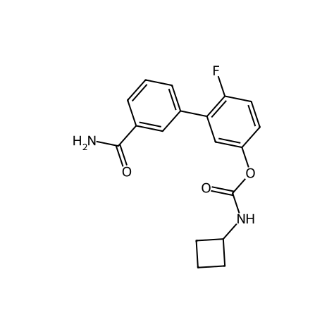 NC(=O)c1cccc(-c2cc(OC(=O)NC3CCC3)ccc2F)c1